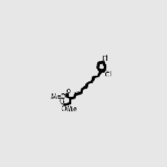 COC(=O)C/C(=C/CCCCCCCCc1ccc(Cl)cc1Cl)C(=O)OC